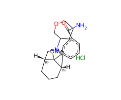 COC1(c2cccc(C(N)=O)c2)[C@@H]2CCC[C@H]1CN(C1CCCOC1)C2.Cl